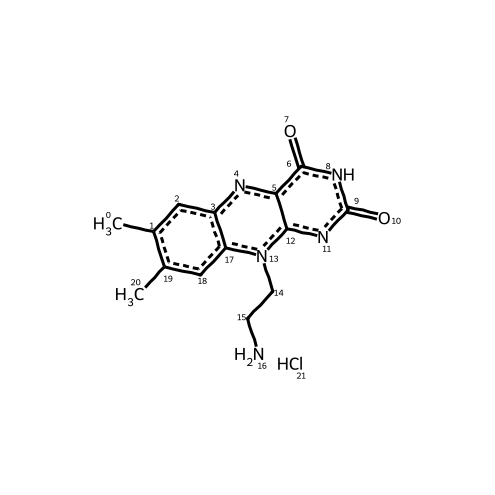 Cc1cc2nc3c(=O)[nH]c(=O)nc-3n(CCN)c2cc1C.Cl